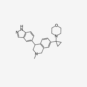 CN1Cc2cc(C3(N4CCOCC4)CC3)ccc2C(c2ccc3[nH]ncc3c2)C1